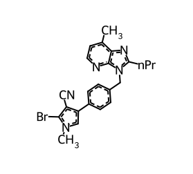 CCCc1nc2c(C)ccnc2n1Cc1ccc(-c2cn(C)c(Br)c2C#N)cc1